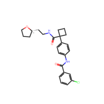 O=C(Nc1ccc(C2(C(=O)NCC[C@@H]3CCCO3)CCC2)cc1)c1cccc(Cl)c1